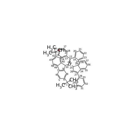 CC(C)(C)c1ccc2c(c1)[CH]([Zr](=[C](c1ccccc1)c1ccccc1)[CH]1C=C(c3ccccc3)c3ccccc31)c1cc(C(C)(C)C)ccc1-2